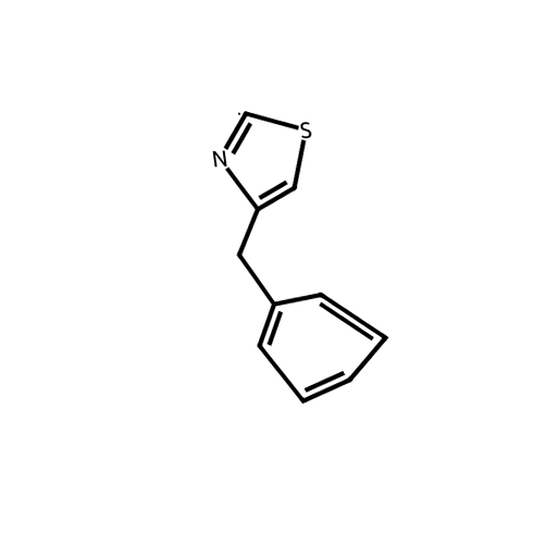 [c]1nc(Cc2ccccc2)cs1